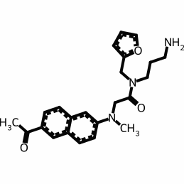 CC(=O)c1ccc2cc(N(C)CC(=O)N(CCCN)Cc3ccco3)ccc2c1